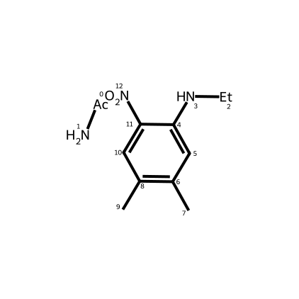 CC(N)=O.CCNc1cc(C)c(C)cc1[N+](=O)[O-]